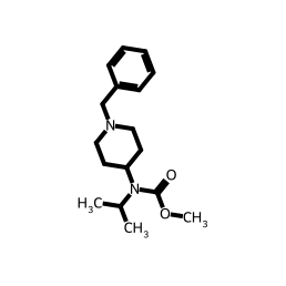 COC(=O)N(C(C)C)C1CCN(Cc2ccccc2)CC1